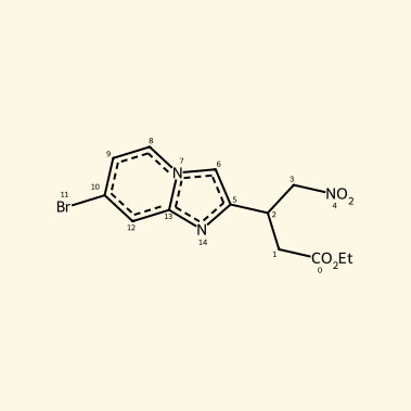 CCOC(=O)CC(C[N+](=O)[O-])c1cn2ccc(Br)cc2n1